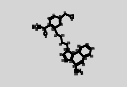 NC(=O)c1ccc(CCl)cc1CCCCn1cnc2c(N)nc3ccccc3c21